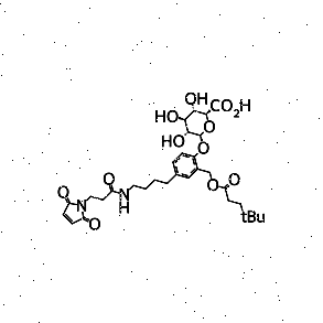 CC(C)(C)CCC(=O)OCc1cc(CCCCNC(=O)CCN2C(=O)C=CC2=O)ccc1O[C@@H]1O[C@H](C(=O)O)[C@@H](O)[C@H](O)[C@H]1O